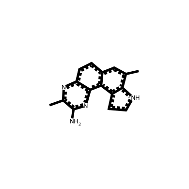 Cc1nc2ccc3cc(C)c4[nH]ccc4c3c2nc1N